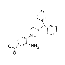 NC1=CC([N+](=O)[O-])CC=C1N1CCC(C(c2ccccc2)c2ccccc2)CC1